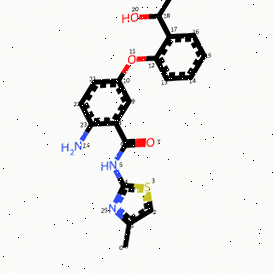 Cc1csc(NC(=O)c2cc(Oc3ccccc3C(C)O)ccc2N)n1